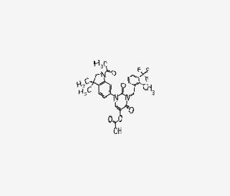 CC(=O)N1CC(C)(C)c2ccc(-n3cc(OC(=O)O)c(=O)n(Cc4cccc(C(F)(F)F)c4C)c3=O)cc21